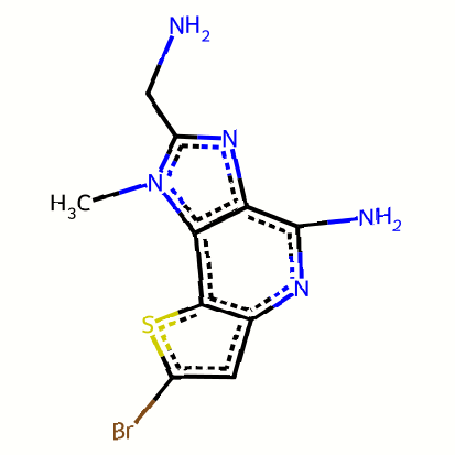 Cn1c(CN)nc2c(N)nc3cc(Br)sc3c21